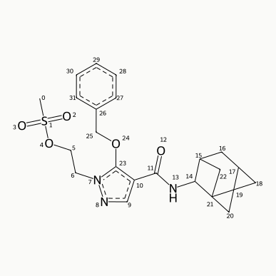 CS(=O)(=O)OCCn1ncc(C(=O)NC2C3CC4CC45CC25C3)c1OCc1ccccc1